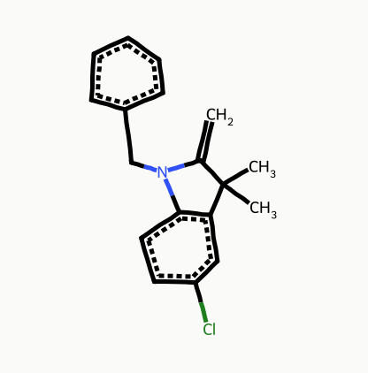 C=C1N(Cc2ccccc2)c2ccc(Cl)cc2C1(C)C